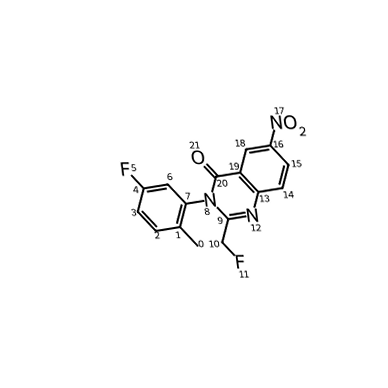 Cc1ccc(F)cc1-n1c(CF)nc2ccc([N+](=O)[O-])cc2c1=O